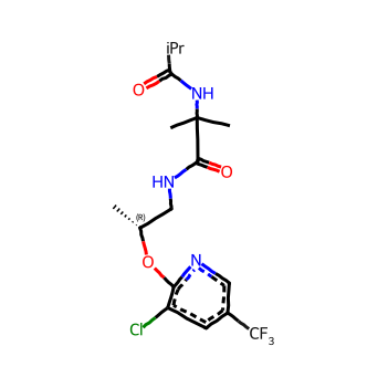 CC(C)C(=O)NC(C)(C)C(=O)NC[C@@H](C)Oc1ncc(C(F)(F)F)cc1Cl